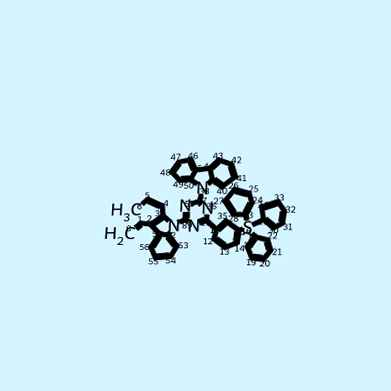 C=Cc1c(/C=C\C)n(-c2nc(-c3cccc(S(c4ccccc4)(c4ccccc4)c4ccccc4)c3)nc(-n3c4ccccc4c4ccccc43)n2)c2ccccc12